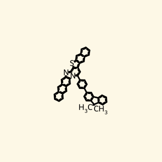 CC1(C)c2ccccc2-c2cc(-c3ccc(-c4cc5c6cc7ccccc7cc6sc5c5nc6cc7cc8ccccc8cc7cc6n45)cc3)ccc21